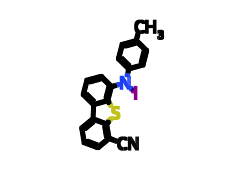 Cc1ccc(N(I)c2cccc3c2sc2c(C#N)cccc23)cc1